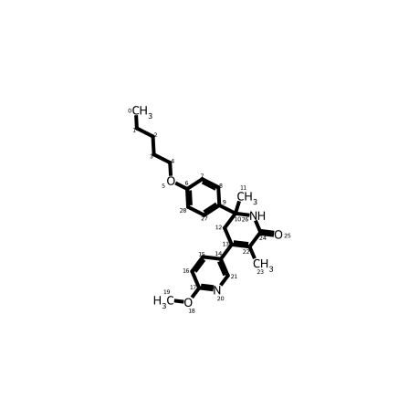 CCCCCOc1ccc(C2(C)CC(c3ccc(OC)nc3)=C(C)C(=O)N2)cc1